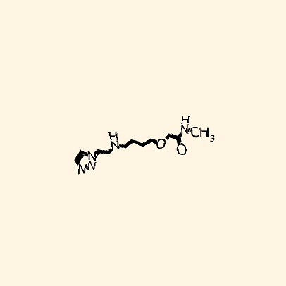 CNC(=O)COCCCCNCCn1ccnn1